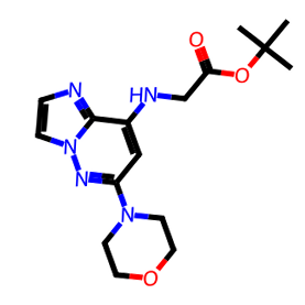 CC(C)(C)OC(=O)CNc1cc(N2CCOCC2)nn2ccnc12